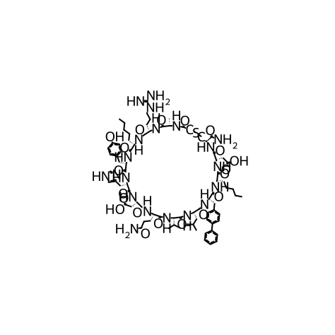 CCCCC[C@@H]1NC(=O)[C@H](CCCNC(=N)N)NC(=O)[C@H](C)NC(=O)CSC[C@@H](C(N)=O)NC(=O)[C@H](CC(=O)O)NC(=O)[C@H](CCCCC)NC(=O)[C@H](Cc2ccc(-c3ccccc3)cc2)NC(=O)[C@H](CC(C)C)NC(=O)[C@H](C(C)C)NC(=O)[C@H](CCC(N)=O)NC(=O)[C@H](CC(=O)O)NC(=O)[C@H](Cc2c[nH]cn2)NC(=O)[C@H](Cc2ccc(O)cc2)NC1=O